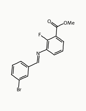 COC(=O)c1cccc(/N=C/c2cccc(Br)c2)c1F